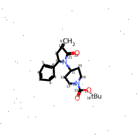 C=C1CC(c2ccccc2)N(C2CCN(C(=O)OC(C)(C)C)CC2)C1=O